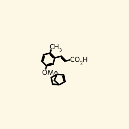 C1=CC2CCC1C2.COc1ccc(C)c(C=CC(=O)O)c1